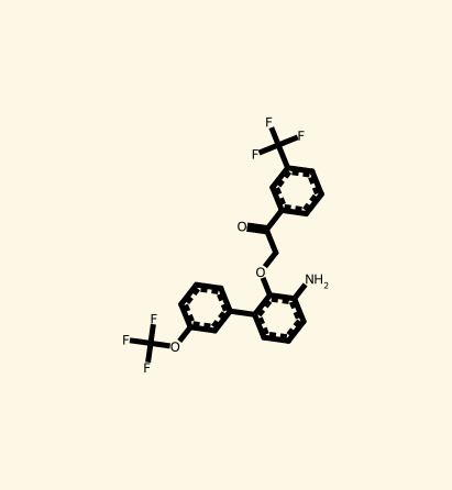 Nc1cccc(-c2cccc(OC(F)(F)F)c2)c1OCC(=O)c1cccc(C(F)(F)F)c1